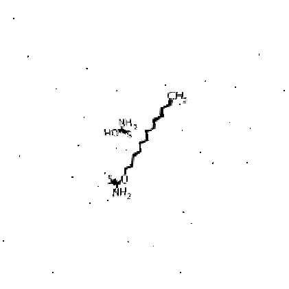 CCCCCCCCCCCCCOC(N)=S.NC(O)=S